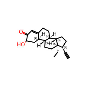 C#C[C@@H]1CC[C@H]2[C@@H]3CCC4=CC(=O)C(O)C[C@@H]4[C@H]3CC[C@]12CC